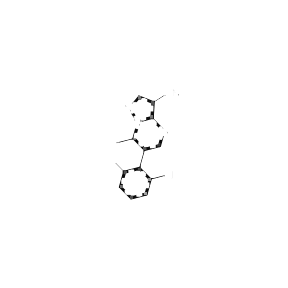 N#Cc1cnn2c(Cl)c(-c3c(F)cccc3Cl)cnc12